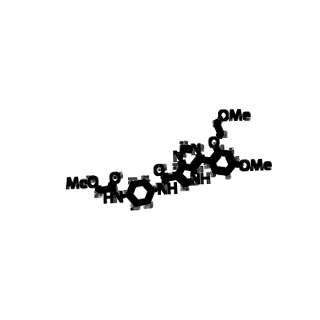 COCCOc1cc(OC)ccc1-c1ncnc2c(C(=O)N[C@H]3CC[C@H](NC(=O)COC)CC3)c[nH]c12